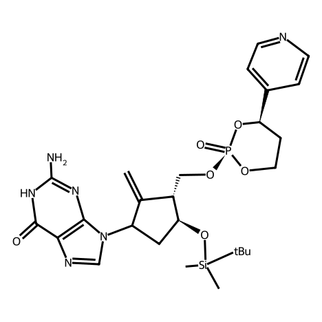 C=C1C(n2cnc3c(=O)[nH]c(N)nc32)C[C@H](O[Si](C)(C)C(C)(C)C)[C@H]1CO[P@]1(=O)OCC[C@H](c2ccncc2)O1